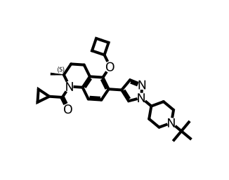 C[C@H]1CCc2c(ccc(-c3cnn(C4CCN(C(C)(C)C)CC4)c3)c2OC2CCC2)N1C(=O)C1CC1